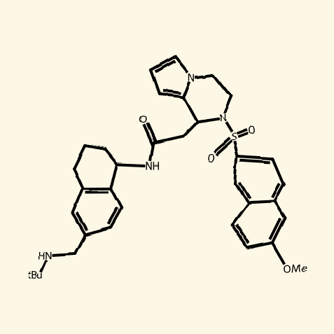 COc1ccc2cc(S(=O)(=O)N3CCn4cccc4C3CC(=O)NC3CCCc4cc(CNC(C)(C)C)ccc43)ccc2c1